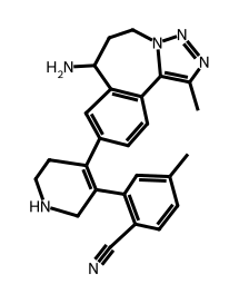 Cc1ccc(C#N)c(C2=C(c3ccc4c(c3)C(N)CCn3nnc(C)c3-4)CCNC2)c1